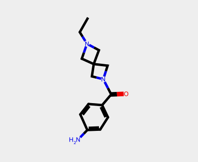 CCN1CC2(C1)CN(C(=O)c1ccc(N)cc1)C2